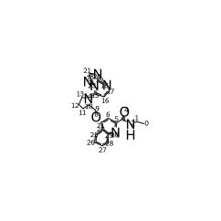 CCNC(=O)c1cc(OCC2CCCN2c2ccnc3ncnn23)c2ccccc2n1